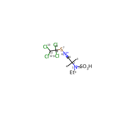 CCN(C(C)(C)C#[N+]SC(Cl)(Cl)C(Cl)Cl)S(=O)(=O)O